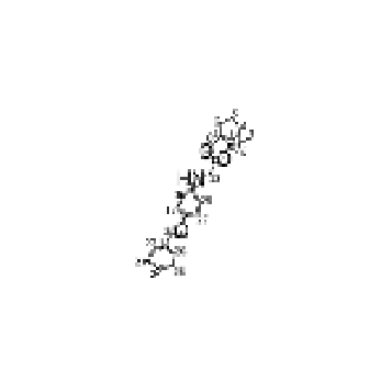 CC12CCC(C1)C(C)(C)C2OC(=O)CNc1ccc(OCc2ccccc2)cc1